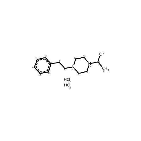 CC(Cl)N1CCN(CCc2ccccc2)CC1.Cl.Cl